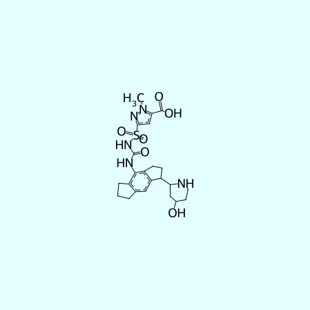 Cn1nc(S(=O)(=O)NC(=O)Nc2c3c(cc4c2CCC4C2CC(O)CCN2)CCC3)cc1C(=O)O